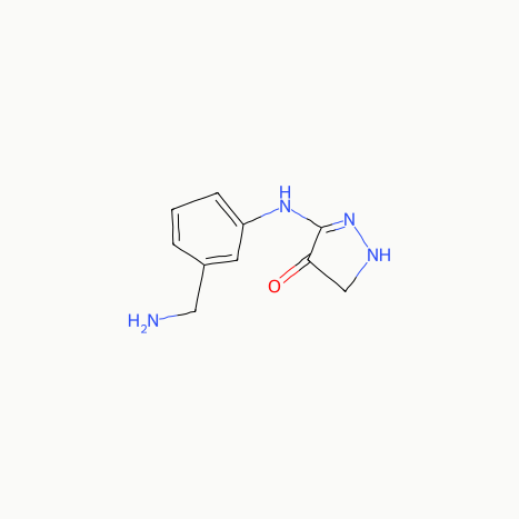 NCc1cccc(NC2=NNCC2=O)c1